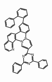 C1=CC(c2nc(-c3ccccc3)nc(-c3ccccc3)n2)=CN2B1c1ccc(-c3ccccc3-c3ccccc3)cc1-c1ccc3cccnc3c12